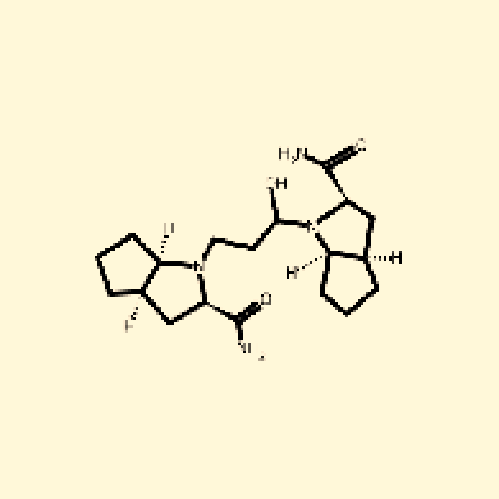 NC(=O)[C@H]1C[C@H]2CCC[C@H]2N1CCC(O)N1[C@@H](C(N)=O)C[C@H]2CCC[C@H]21